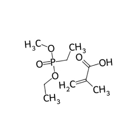 C=C(C)C(=O)O.CCOP(=O)(CC)OC